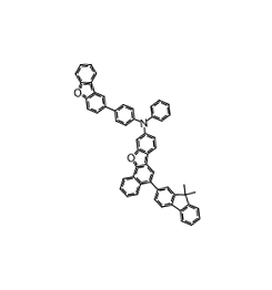 CC1(C)c2ccccc2-c2ccc(-c3cc4c5ccc(N(c6ccccc6)c6ccc(-c7ccc8oc9ccccc9c8c7)cc6)cc5oc4c4ccccc34)cc21